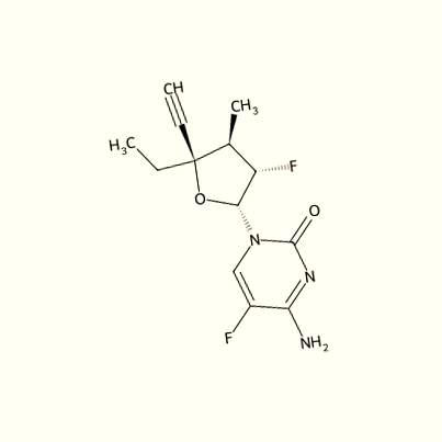 C#C[C@]1(CC)O[C@@H](n2cc(F)c(N)nc2=O)[C@@H](F)[C@@H]1C